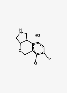 Cl.Clc1c(Br)ccc2c1COC1CNCC21